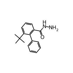 CC(C)(C)c1cccc(C(=O)NN)c1-c1ccccc1